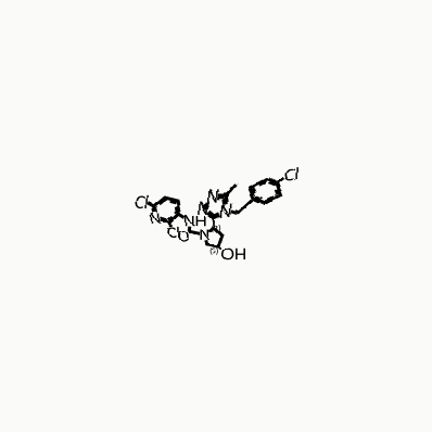 Cc1nnc([C@H]2C[C@H](O)CN2C(=O)Nc2ccc(Cl)nc2Cl)n1Cc1ccc(Cl)cc1